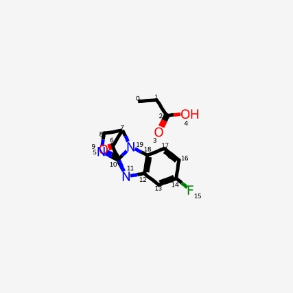 CCC(=O)O.O=C1C2CN=C3N1c1cc(F)ccc1N32